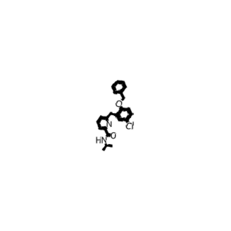 CC(C)NC(=O)c1cccc(Cc2cc(Cl)ccc2OCc2ccccc2)n1